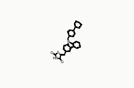 O=C1NC(=O)C(=Cc2ccc3c(c2)c2ccccc2n3Cc2ccc(-c3ccccc3)cc2)S1